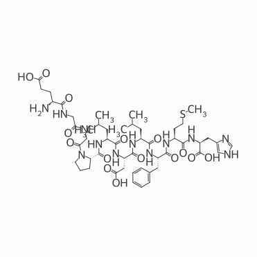 CSCC[C@H](NC(=O)[C@H](Cc1ccccc1)NC(=O)[C@H](CC(C)C)NC(=O)[C@H](CC(=O)O)NC(=O)[C@H](CC(C)C)NC(=O)[C@@H]1CCCN1C(=O)CNC(=O)CNC(=O)[C@@H](N)CCC(=O)O)C(=O)N[C@@H](Cc1c[nH]cn1)C(=O)O